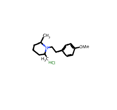 COc1ccc(CCN2C(C)CCCC2C)cc1.Cl